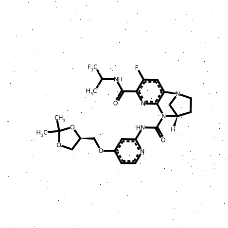 CC(NC(=O)c1nc2c(cc1F)N1CC[C@@H](C1)N2C(=O)Nc1cc(OC[C@H]2COC(C)(C)O2)ccn1)C(F)(F)F